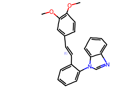 COc1ccc(/C=C/c2ccccc2-n2cnc3ccccc32)cc1OC